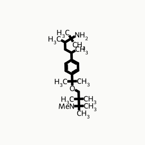 CNC(C)(C)C(C)(C)COC(C)(C)c1ccc(C(C)CC(C)C(C)(C)N)cc1